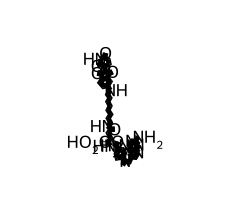 CN(Cc1cnc2nc(N)nc(N)c2n1)c1ccc(C(=O)N[C@@H](CCC(=O)NCCCCCCCCNc2ccc3c(c2)C(=O)N(C2CCC(=O)NC2=O)C3=O)C(=O)O)cc1